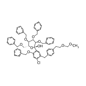 COCOCCc1ccc(Cc2cc([C@]3(O)O[C@H](COCc4ccccc4)[C@@H](OCc4ccccc4)[C@H](OCc4ccccc4)[C@H]3OCc3ccccc3)c(OCc3ccccc3)cc2Cl)cc1